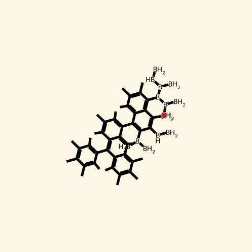 BBB(B)B(B(B)B)c1c(C)c(C)c(C)c2c(-c3c(C)c(C)c(C)c4c(-c5c(C)c(C)c(C)c(C)c5C)c5c(C)c(C)c(C)c(C)c5c(C)c34)c(B(B)B)c(BB)c(B)c12